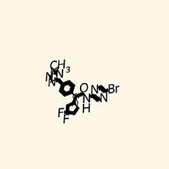 Cn1nnc(-c2ccc([C@@H](C(=O)Nc3cnc(Br)cn3)[C@H]3CCC(F)(F)C3)cc2)n1